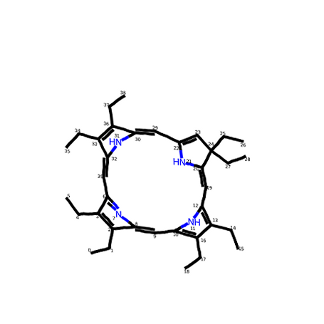 CCC1=C(CC)C2=NC1=Cc1[nH]c(c(CC)c1CC)C=C1NC(=CC1(CC)CC)C=c1[nH]c(c(CC)c1CC)=C2